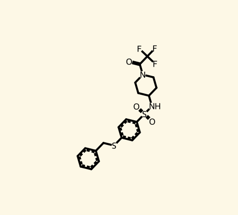 O=C(N1CCC(NS(=O)(=O)c2ccc(SCc3ccccc3)cc2)CC1)C(F)(F)F